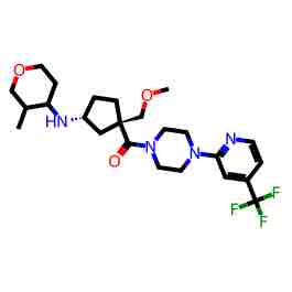 COC[C@]1(C(=O)N2CCN(c3cc(C(F)(F)F)ccn3)CC2)CC[C@@H](NC2CCOCC2C)C1